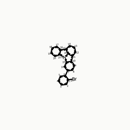 Brc1ccccc1-c1ccc2c3cccc4c5ccccc5n(c2c1)c43